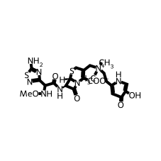 CONC(C(=O)N[C@@H]1C(=O)N2C(C(=O)[O-])=C(C[N+](C)(C)CCc3cc(=O)c(O)c[nH]3)CS[C@@H]12)c1nsc(N)n1